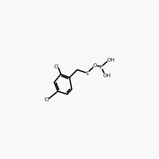 OP(O)OSCc1ccc(Cl)cc1Cl